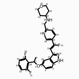 CC(Oc1ccc2[nH]nc(/C=C(\F)c3ccc(CNC4CCOCC4)nc3)c2c1)c1c(F)cccc1F